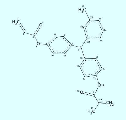 C=CC(=O)Oc1ccc(N(c2ccc(OC(=O)C(=C)C)cc2)c2cccc(C)c2)cc1